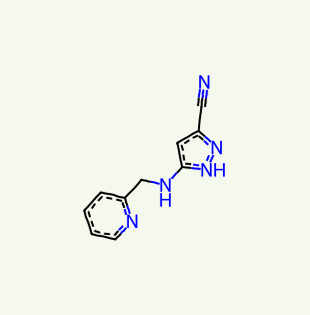 N#Cc1cc(NCc2ccccn2)[nH]n1